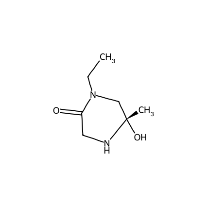 CCN1C[C@](C)(O)NCC1=O